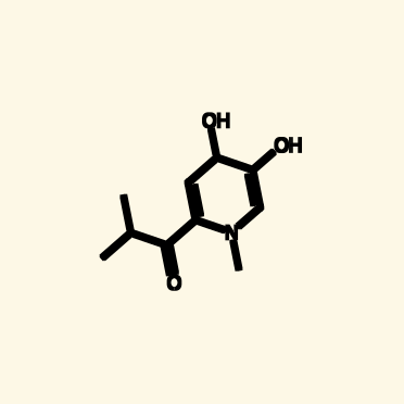 CC(C)C(=O)C1=CC(O)C(O)=CN1C